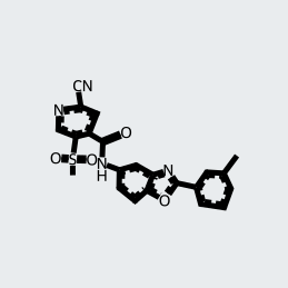 Cc1cccc(-c2nc3cc(NC(=O)c4cc(C#N)ncc4S(C)(=O)=O)ccc3o2)c1